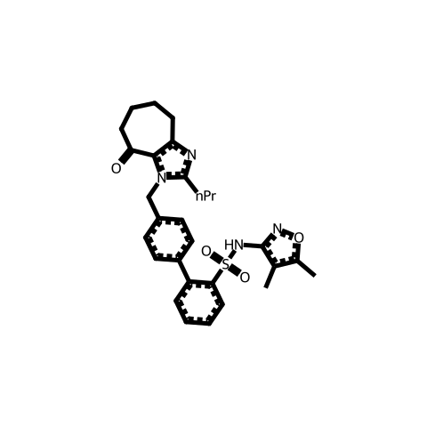 CCCc1nc2c(n1Cc1ccc(-c3ccccc3S(=O)(=O)Nc3noc(C)c3C)cc1)C(=O)CCCC2